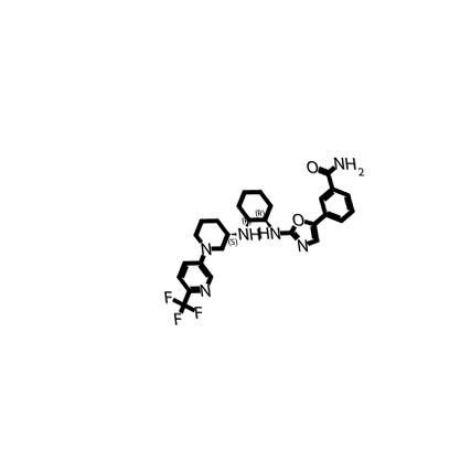 NC(=O)c1cccc(-c2cnc(N[C@@H]3CCCC[C@H]3N[C@H]3CCCN(c4ccc(C(F)(F)F)nc4)C3)o2)c1